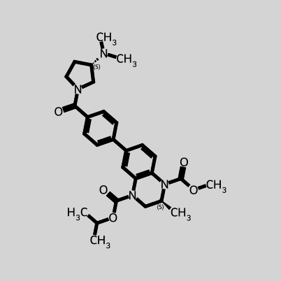 COC(=O)N1c2ccc(-c3ccc(C(=O)N4CC[C@H](N(C)C)C4)cc3)cc2N(C(=O)OC(C)C)C[C@@H]1C